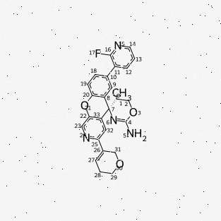 CC1COC(N)=N[C@@]12c1cc(-c3cccnc3F)ccc1Oc1cnc(C3=CCCOC3)cc12